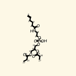 C=CCCCC(=O)NCCOP(=O)(O)OCC(COC(=O)CC)OC(=O)CC